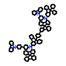 c1ccc(C2(c3ccc(-c4ccc5c(c4)-c4ccccc4C54c5ccccc5-c5c(N(c6cccc(-n7c8ccccc8c8ccccc87)c6)c6ccc7c(c6)-c6ccccc6C7(c6ccccc6)c6ccccc6)cccc54)cc3)c3ccccc3-c3cc(N(c4ccc(-c5ccc(-n6c7ccccc7c7ccccc76)cc5)cc4)c4cccc5c4-c4ccccc4C54c5ccccc5-c5ccccc54)ccc32)cc1